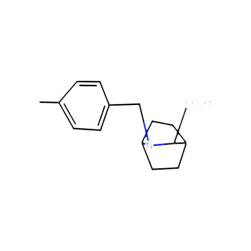 CCOC(=O)C1C2CCC(CC2)N1Cc1ccc(C)cc1